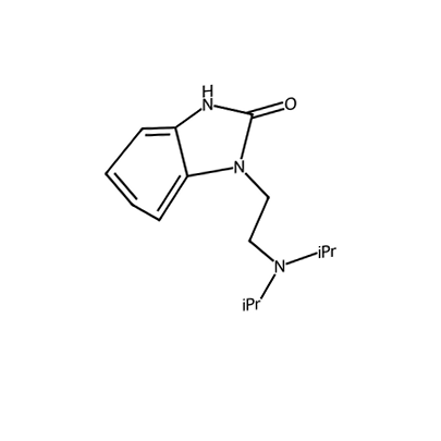 CC(C)N(CCn1c(=O)[nH]c2ccccc21)C(C)C